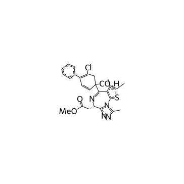 COC(=O)C[C@@H]1N=C(C2(C(=O)O)C=CC(c3ccccc3)=C(Cl)C2)c2c(sc(C)c2C)-n2c(C)nnc21